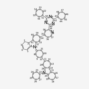 C1=CCC2C(=C1)N(c1ccc(-c3ccc4c5ccccc5n(-c5ccccc5)c4c3)cc1)c1cc(-c3ccnc(-c4nc(-c5ccccc5)nc(-c5ccccc5)n4)c3)ccc12